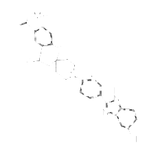 COC(=O)c1ccc2c(c1)C(C)CC1(CCN(c3ccc(-c4nc5cc(C(F)(F)F)ccc5[nH]4)cn3)CC1)O2